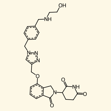 O=C1CCC(N2Cc3c(OCc4cn(Cc5ccc(CNCCO)cc5)nn4)cccc3C2=O)C(=O)N1